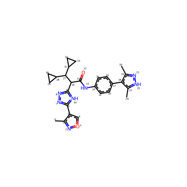 Cc1nocc1-c1nnc(C(C(=O)Nc2ccc(-c3c(C)n[nH]c3C)cc2)C(C2CC2)C2CC2)[nH]1